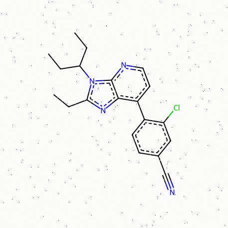 CCc1nc2c(-c3ccc(C#N)cc3Cl)ccnc2n1C(CC)CC